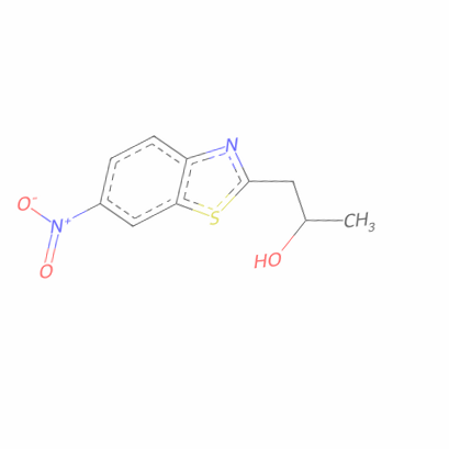 CC(O)Cc1nc2ccc([N+](=O)[O-])cc2s1